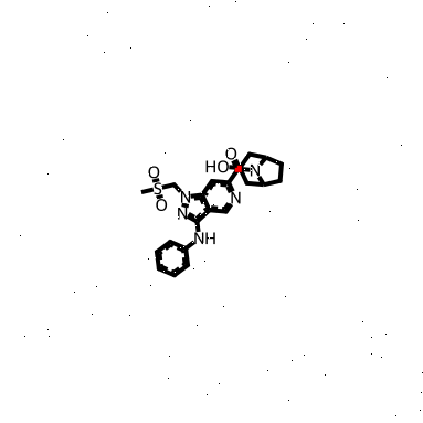 CS(=O)(=O)Cn1nc(Nc2ccccc2)c2cnc(C(=O)N3C4CCC3CC(O)C4)cc21